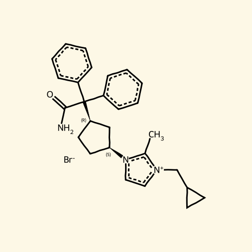 Cc1n([C@H]2CC[C@@H](C(C(N)=O)(c3ccccc3)c3ccccc3)C2)cc[n+]1CC1CC1.[Br-]